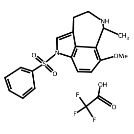 COc1ccc2c3c(cn2S(=O)(=O)c2ccccc2)CCNC(C)c13.O=C(O)C(F)(F)F